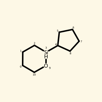 C1CC[SiH](C2CCCC2)OC1